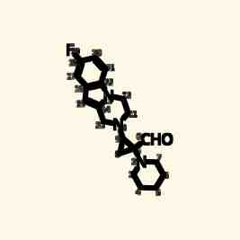 O=CC1(N2CCCCC2)CC1N1CCn2c(cc3cc(F)ccc32)C1